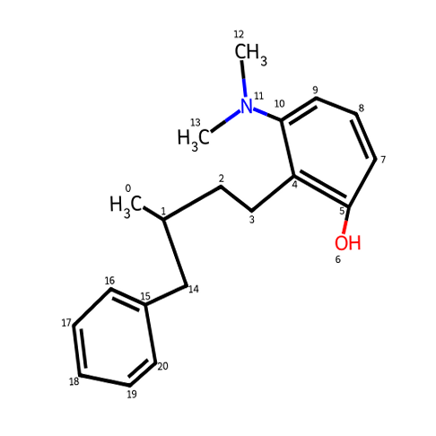 CC(CCc1c(O)cccc1N(C)C)Cc1ccccc1